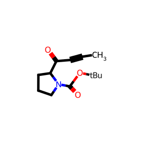 CC#CC(=O)C1CCCN1C(=O)OC(C)(C)C